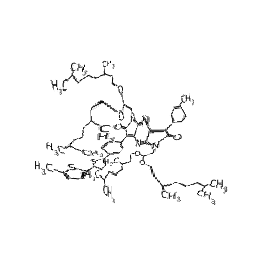 Cc1ccc(C2=c3nc4c(nc3N(CC(OCCC(C)CCCC(C)C)OCCC(C)CCCC(C)C)C2=O)=C(c2ccc(-c3ccc(-c5ccc(C)s5)s3)cc2)C(=O)N4CC(OCCC(C)CCCC(C)C)OCCC(C)CCCC(C)C)cc1